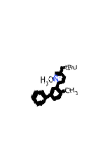 Cc1ccc(-c2ccccc2)cc1-c1ccc(CC(C)(C)C)c[n+]1C